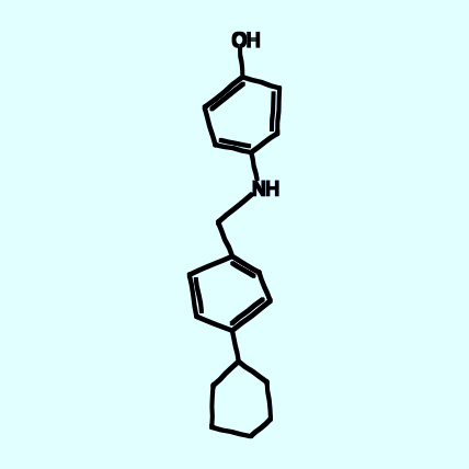 Oc1ccc(NCc2ccc(C3CCCCC3)cc2)cc1